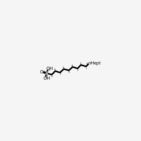 [CH2]CCCCCCCCCCCCCCCP(=O)(O)O